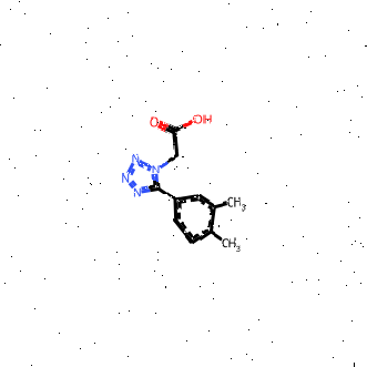 Cc1ccc(-c2nnnn2CC(=O)O)cc1C